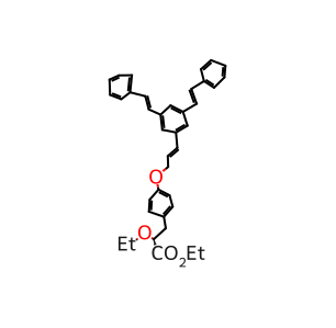 CCOC(=O)[C@H](Cc1ccc(OC/C=C/c2cc(/C=C/c3ccccc3)cc(/C=C/c3ccccc3)c2)cc1)OCC